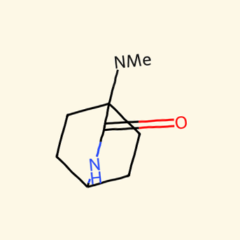 CNC12CCC(CC1)NC2=O